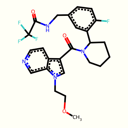 COCCn1cc(C(=O)N2CCCCC2c2cc(CNC(=O)C(F)(F)F)ccc2F)c2ccncc21